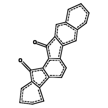 O=c1c2ccccc2c2ccc3c4cc5ccccc5cc4c(=O)c3c12